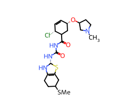 CSC1CCC2=C(C1)S[C@@H](NC(=O)NC(=O)C1C[C@@H](OC3CCN(C)C3)C=C[C@H]1Cl)N2